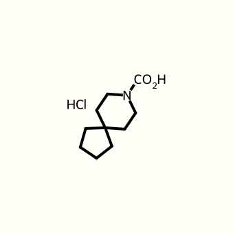 Cl.O=C(O)N1CCC2(CCCC2)CC1